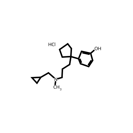 CN(CCCC1(c2cccc(O)c2)CCCC1)CC1CC1.Cl